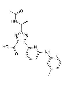 CC(=O)N[C@@H](C)c1nc(C(=O)O)c(-c2cccc(Nc3cc(C)ccn3)n2)s1